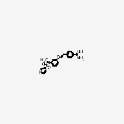 CN(c1cccc(OCCc2ccc(C(=N)N)cc2)c1)S(=O)(=O)n1ccnc1